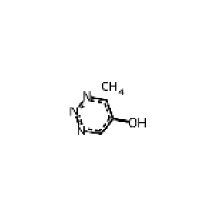 C.Oc1cnnnc1